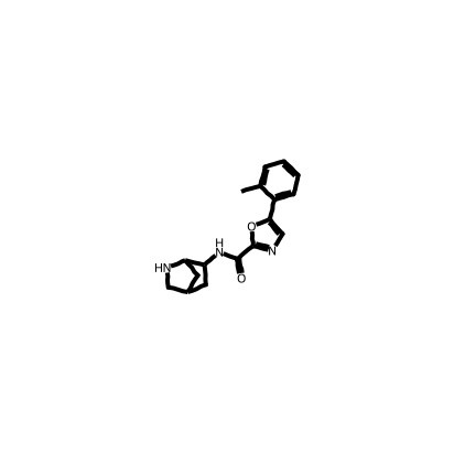 Cc1ccccc1-c1cnc(C(=O)NC2CC3CNC2C3)o1